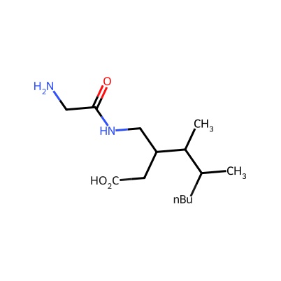 CCCCC(C)C(C)C(CNC(=O)CN)CC(=O)O